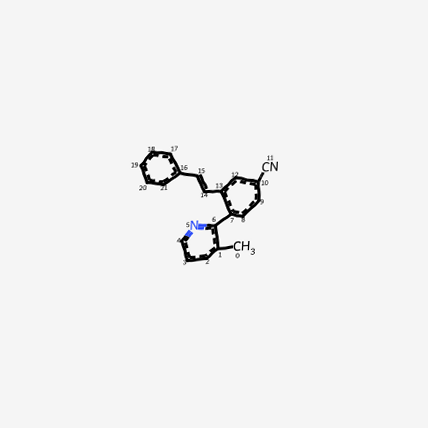 Cc1cccnc1-c1ccc(C#N)cc1C=Cc1ccccc1